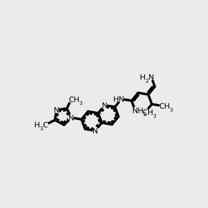 Cc1cn(-c2cnc3ccc(N/C(N)=C/C(=C\N)C(C)C)nc3c2)c(C)n1